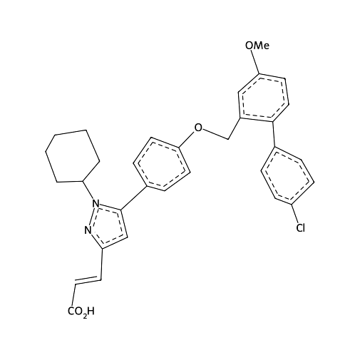 COc1ccc(-c2ccc(Cl)cc2)c(COc2ccc(-c3cc(C=CC(=O)O)nn3C3CCCCC3)cc2)c1